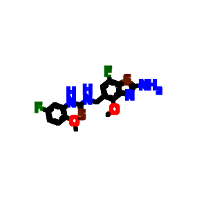 COc1ccc(F)cc1NC(=S)NCc1cc(F)c2sc(N)nc2c1OC